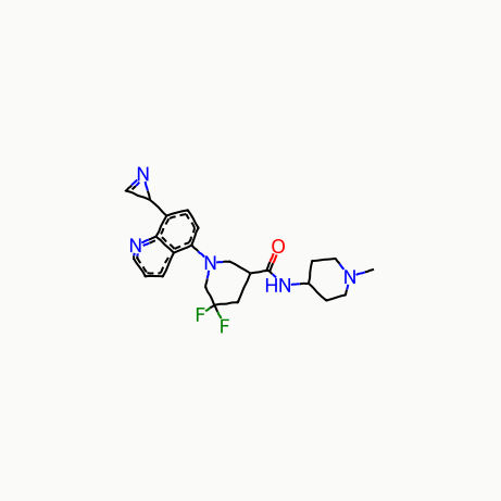 CN1CCC(NC(=O)C2CN(c3ccc(C4C=N4)c4ncccc34)CC(F)(F)C2)CC1